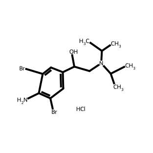 CC(C)N(CC(O)c1cc(Br)c(N)c(Br)c1)C(C)C.Cl